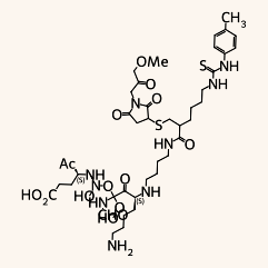 COCC(=O)CN1C(=O)CC(SCC(CCCCNC(=S)Nc2ccc(C)cc2)C(=O)NCCCCN[C@@H](CCCCN)C(=O)C(NC=O)(OO)ON(O)N[C@@H](CCC(=O)O)C(C)=O)C1=O